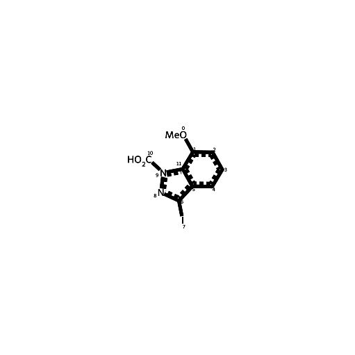 COc1cccc2c(I)nn(C(=O)O)c12